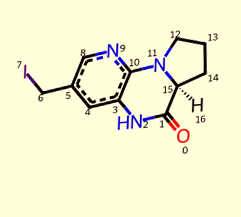 O=C1Nc2cc(CI)cnc2N2CCC[C@@H]12